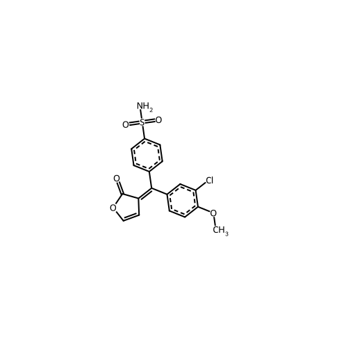 COc1ccc(C(=C2C=COC2=O)c2ccc(S(N)(=O)=O)cc2)cc1Cl